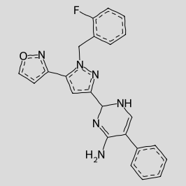 NC1=NC(c2cc(-c3ccon3)n(Cc3ccccc3F)n2)NC=C1c1ccccc1